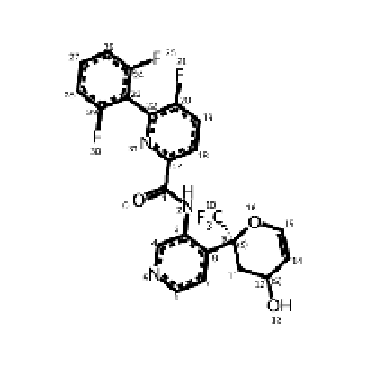 O=C(Nc1cnccc1[C@]1(C(F)(F)F)C[C@H](O)C=CO1)c1ccc(F)c(-c2c(F)cccc2F)n1